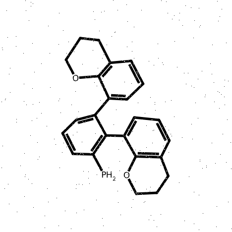 Pc1cccc(-c2cccc3c2OCCC3)c1-c1cccc2c1OCCC2